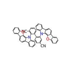 N#Cc1ccc(-c2cccc(C#N)c2-n2c3ccccc3c3ccc4c5ccccc5oc4c32)c(-n2c3ccccc3c3ccc4c5ccccc5oc4c32)c1